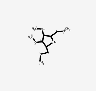 COCC1OC(COC)C(OC)C1OC